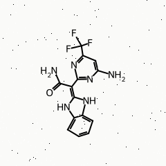 NC(=O)C(=C1Nc2ccccc2N1)c1nc(N)cc(C(F)(F)F)n1